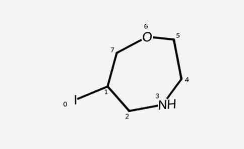 IC1CNCCOC1